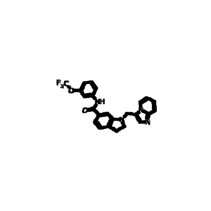 O=C(Nc1cccc(OC(F)(F)F)c1)c1ccc2c(c1)N(Cc1cnc3ccccn13)CC2